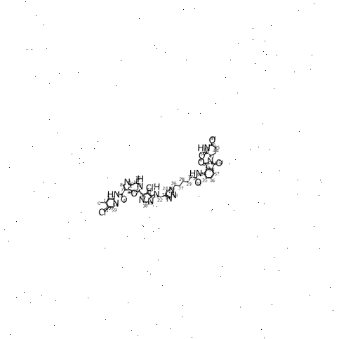 Cc1cc(NC(=O)c2cnc(C(C)NC(=O)c3ncnc(NCc4cn(CCCCCC(=O)Nc5cccc6c5C(=O)N(C5CCC(=O)NC5=O)C6=O)nn4)c3Cl)s2)ncc1Cl